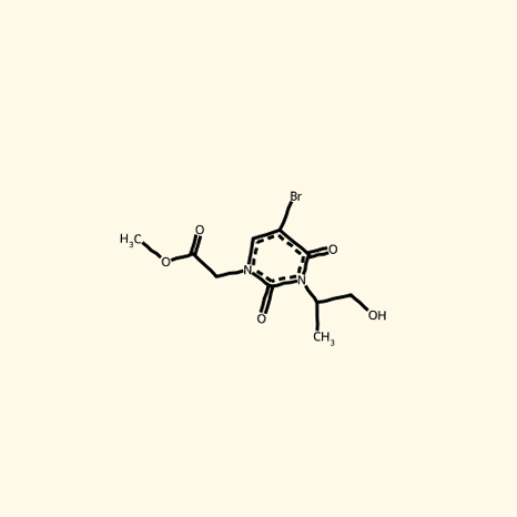 COC(=O)Cn1cc(Br)c(=O)n(C(C)CO)c1=O